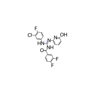 O=C(N/C(=N\c1cccc(O)n1)Nc1ccc(F)c(Cl)c1)c1ccc(F)c(F)c1